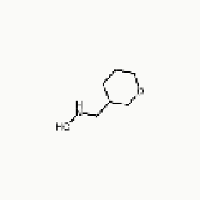 ONCC1CCCOC1